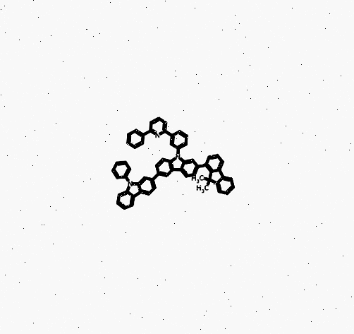 CC1(C)c2ccccc2-c2cccc(-c3ccc4c5cc(-c6ccc7c8ccccc8n(-c8ccccc8)c7c6)ccc5n(-c5cccc(-c6cccc(-c7ccccc7)n6)c5)c4c3)c21